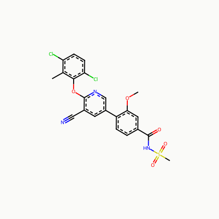 COc1cc(C(=O)NS(C)(=O)=O)ccc1-c1cnc(Oc2c(Cl)ccc(Cl)c2C)c(C#N)c1